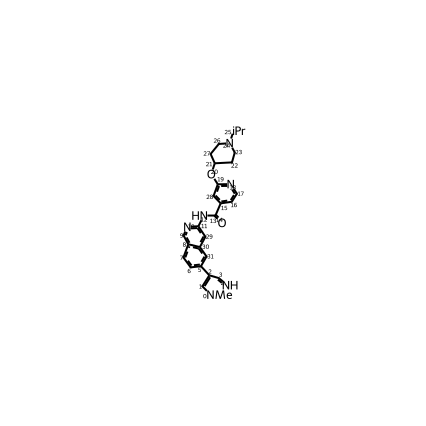 CN/C=C(\C=N)c1ccc2cnc(NC(=O)c3ccnc(OC4CCN(C(C)C)CC4)c3)cc2c1